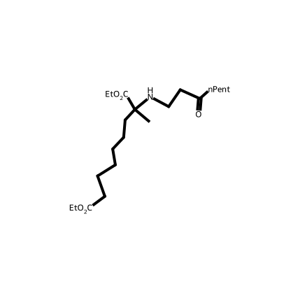 CCCCCC(=O)CCNC(C)(CCCCCCC(=O)OCC)C(=O)OCC